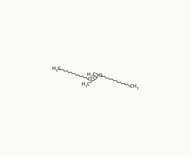 CCCCCCCCCCCCCCCCOC(CC)COCC(CC)OCCCCCCCCCCCCCCCC